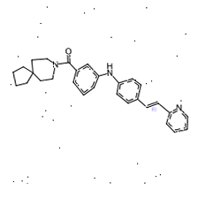 O=C(c1cccc(Nc2ccc(/C=C/c3ccccn3)cc2)c1)N1CCC2(CCCC2)CC1